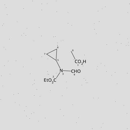 CC(=O)O.CCOC(=O)N(C=O)C1CC1